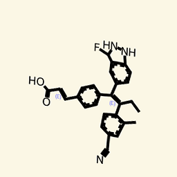 CC/C(=C(/c1ccc(/C=C/C(=O)O)cc1)c1ccc2c(c1)C(F)NN2)c1ccc(C#N)cc1C